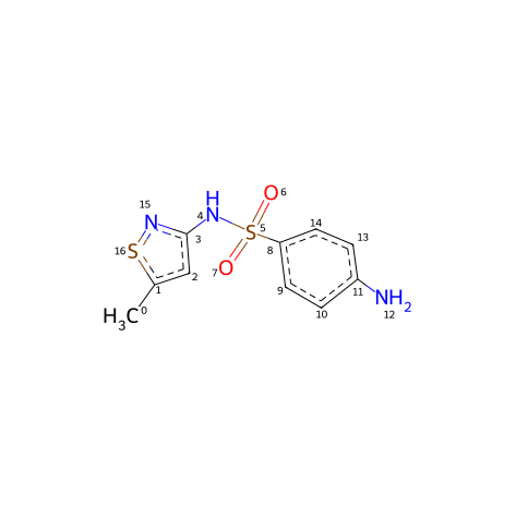 Cc1cc(NS(=O)(=O)c2ccc(N)cc2)ns1